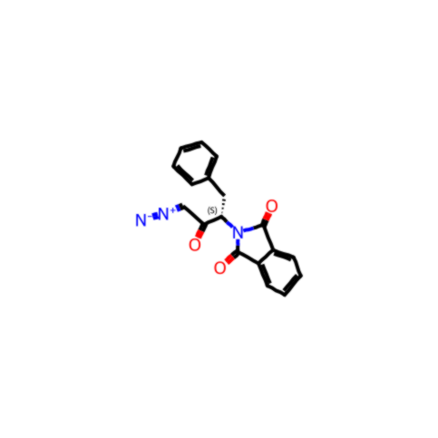 [N-]=[N+]=CC(=O)[C@H](Cc1ccccc1)N1C(=O)c2ccccc2C1=O